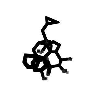 CCCC(C1CCC2(C)C3Cc4ccc(O)cc4C12CCN3CC1CC1)N(C)C(=O)Oc1ccccc1